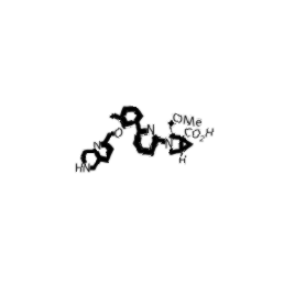 COC[C@H]1N(c2cccc(-c3cccc(C)c3OCc3ccc4c(n3)CCNC4)n2)C[C@@H]2C[C@@]21C(=O)O